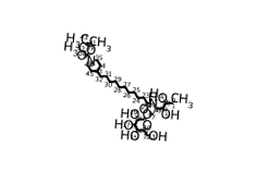 CC[C@@H](O)[C@@H](O)[C@H](COC1OC(CO)C(O)C(O)C1O)NC(=O)CCCCCCCCCCC1CCN(C(=O)OC(C)(C)C)CC1